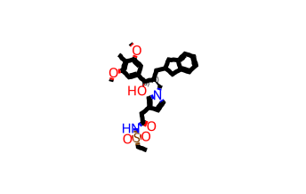 CCS(=O)(=O)NC(=O)Cc1ccn(C[C@H](CC2Cc3ccccc3C2)[C@H](O)c2cc(OC)c(C)c(OC)c2)c1